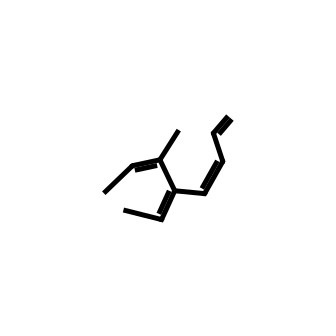 C=C\C=C/C(=C/C)C(/C)=C\C